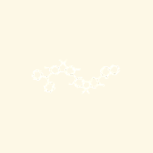 Cc1cc2c(cc1-c1ccc3ccccc3n1)-c1cc(-c3cc4c(cc3C)C(C)(C)c3cc(C)c(N(c5ccccc5)c5ccccc5)cc3-4)c(C)cc1C2(C)C